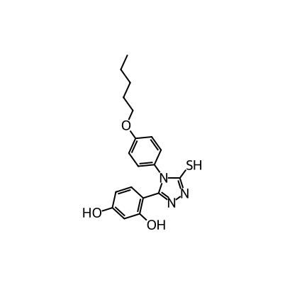 CCCCCOc1ccc(-n2c(S)nnc2-c2ccc(O)cc2O)cc1